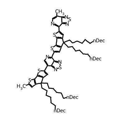 CCCCCCCCCCCCCCCCC1(CCCCCCCCCCCCCCCC)c2cc(C)sc2-c2sc(-c3cnc(-c4cc5c(s4)-c4sc(-c6ncc(C)c7nsnc67)cc4C5(CCCCCCCCCCCCCCCC)CCCCCCCCCCCCCCCC)c4nsnc34)cc21